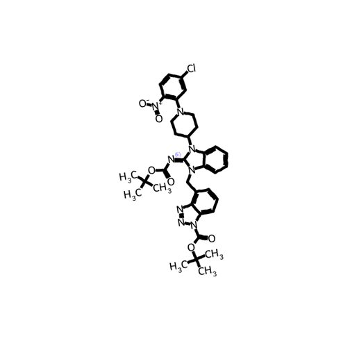 CC(C)(C)OC(=O)/N=c1\n(Cc2cccc3c2nnn3C(=O)OC(C)(C)C)c2ccccc2n1C1CCN(c2cc(Cl)ccc2[N+](=O)[O-])CC1